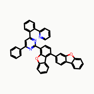 c1ccc(-c2cc(-c3ccccc3-c3ccccn3)nc(-c3ccc(-c4ccc5c(c4)oc4ccccc45)c4c3oc3ccccc34)n2)cc1